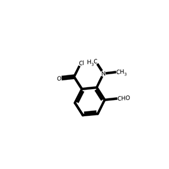 CN(C)c1c(C=O)cccc1C(=O)Cl